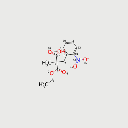 CCOC(=O)C(C)(Cc1ccccc1[N+](=O)[O-])C(=O)O